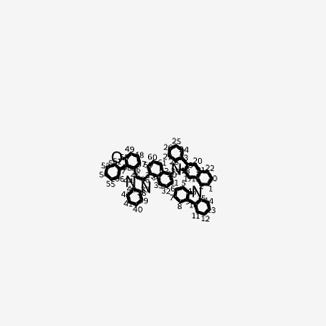 c1cc(-n2c3ccccc3c3ccccc32)c2cc3c(cc2c1)c1ccccc1n3-c1cccc2c(-c3nc4ccccc4nc3-c3cccc4oc5ccccc5c34)cccc12